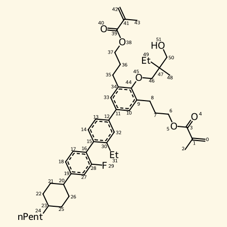 C=C(C)C(=O)OCCCc1cc(-c2ccc(-c3ccc(C4CCC(CCCCC)CC4)cc3F)c(CC)c2)cc(CCCOC(=O)C(=C)C)c1OCC(C)(CC)CO